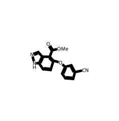 COC(=O)c1c(Oc2cccc(C#N)c2)ccc2[nH]ncc12